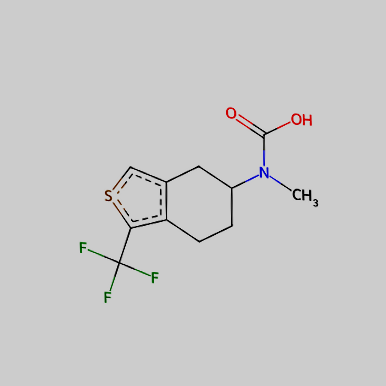 CN(C(=O)O)C1CCc2c(csc2C(F)(F)F)C1